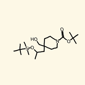 CC(CC1(CO)CCN(C(=O)OC(C)(C)C)CC1)O[Si](C)(C)C(C)(C)C